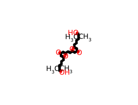 CC(C)(CO)CCCCc1cc(=O)cc(C=Cc2cc(=O)cc(CCCCC(C)(C)CO)o2)o1